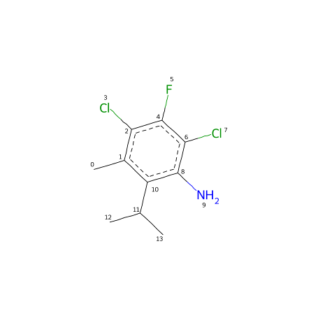 Cc1c(Cl)c(F)c(Cl)c(N)c1C(C)C